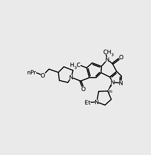 CCCOCC1CCN(C(=O)c2cc3c4c(cnn4[C@H]4CCN(CC)C4)c(=O)n(C)c3cc2C)CC1